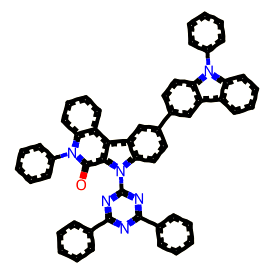 O=c1c2c(c3ccccc3n1-c1ccccc1)c1cc(-c3ccc4c(c3)c3ccccc3n4-c3ccccc3)ccc1n2-c1nc(-c2ccccc2)nc(-c2ccccc2)n1